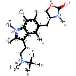 [2H]c1c(C[C@H]2COC(=O)N2[2H])c([2H])c2c(CCN(C)C([2H])([2H])[2H])c([2H])n([2H])c2c1[2H]